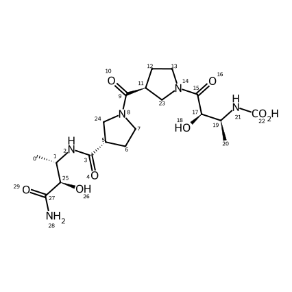 C[C@H](NC(=O)[C@H]1CCN(C(=O)[C@H]2CCN(C(=O)[C@H](O)[C@H](C)NC(=O)O)C2)C1)[C@@H](O)C(N)=O